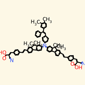 Cc1ccc(/C(=C/c2ccc(N(c3ccc4c(c3)C(C)(C)c3cc(/C=C/c5ccc(/C=C(/C#N)C(=O)O)cc5)ccc3-4)c3ccc4c(c3)C(C)(C)c3cc(/C=C/c5ccc(/C=C(\C#N)C(=O)O)cc5)ccc3-4)cc2)c2ccccc2)cc1C